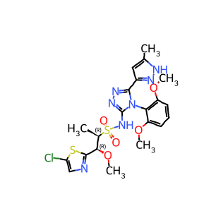 COc1cccc(OC)c1-n1c(NS(=O)(=O)[C@H](C)[C@@H](OC)c2ncc(Cl)s2)nnc1-c1cc(C)[nH]n1